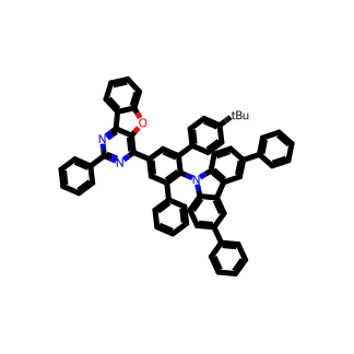 CC(C)(C)c1ccc(-c2cc(-c3nc(-c4ccccc4)nc4c3oc3ccccc34)cc(-c3ccccc3)c2-n2c3ccc(-c4ccccc4)cc3c3cc(-c4ccccc4)ccc32)cc1